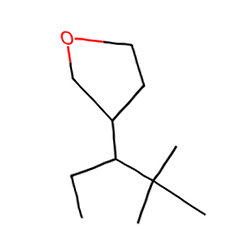 CCC(C1CCOC1)C(C)(C)C